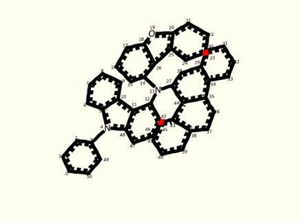 c1ccc(-n2c3ccccc3c3c(N(c4cccc5oc6ccccc6c45)c4cc5ccccc5c5ccc6ccccc6c45)cccc32)cc1